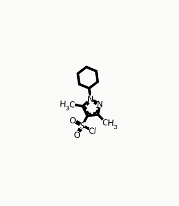 Cc1nn(C2CCCCC2)c(C)c1S(=O)(=O)Cl